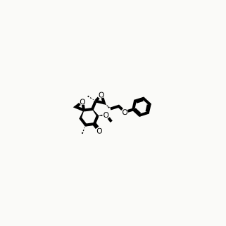 CO[C@@H]1C(=O)[C@H](C)C[C@]2(CO2)[C@H]1[C@@]1(C)O[C@@H]1CCOc1ccccc1